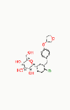 OC[C@H]1O[C@H](c2ccc(Br)c(Cc3ccc(OC4CCOC4)cc3)c2)[C@H](O)[C@@H](O)[C@@H]1O